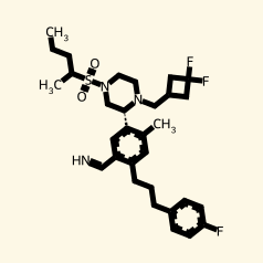 CCCC(C)S(=O)(=O)N1CCN(CC2CC(F)(F)C2)[C@H](c2cc(C=N)c(CCCc3ccc(F)cc3)cc2C)C1